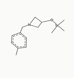 Cc1ccc(CN2CC(O[Si](C)(C)C)C2)cc1